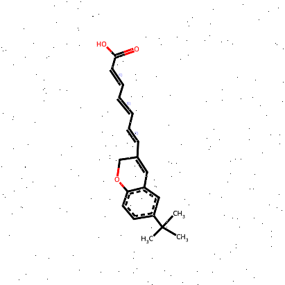 CC(C)(C)c1ccc2c(c1)C=C(/C=C/C=C/C=C/C(=O)O)CO2